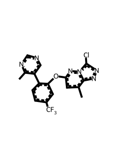 Cc1ncncc1-c1ccc(C(F)(F)F)cc1Oc1cc(C)c2nnc(Cl)n2n1